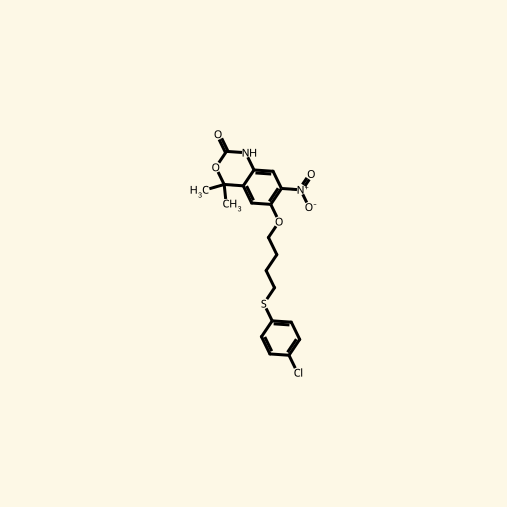 CC1(C)OC(=O)Nc2cc([N+](=O)[O-])c(OCCCCSc3ccc(Cl)cc3)cc21